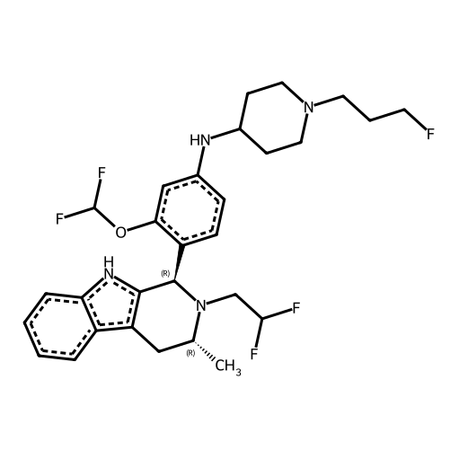 C[C@@H]1Cc2c([nH]c3ccccc23)[C@@H](c2ccc(NC3CCN(CCCF)CC3)cc2OC(F)F)N1CC(F)F